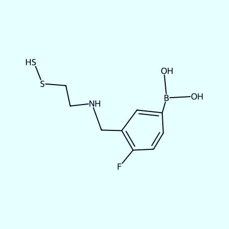 OB(O)c1ccc(F)c(CNCCSS)c1